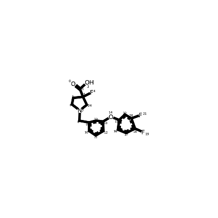 O=C(O)C1(F)CCN(Cc2cccc(Oc3ccc(F)c(F)c3)c2)C1